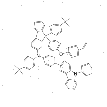 C=Cc1ccc(Oc2ccc(C3(c4ccc(C(C)(C)C)cc4)c4ccccc4-c4ccc(N(c5ccc(-c6ccc7c(c6)c6ccccc6n7-c6ccccc6)cc5)c5ccc(C(C)(C)C)cc5)cc43)cc2)cc1